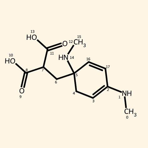 CNC1=CCC(CC(C(=O)O)C(=O)O)(NC)C=C1